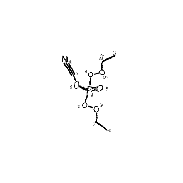 CCOOP(=O)(OC#N)OOCC